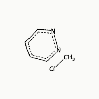 CCl.c1ccnnc1